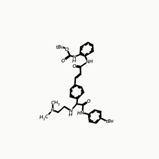 CN(C)CCNC(C(=O)Nc1ccc(C(C)(C)C)cc1)c1ccc(C=CC(=O)Nc2ccccc2NC(=O)OC(C)(C)C)cc1